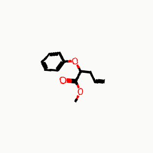 C=CCC(Oc1ccccc1)C(=O)OC